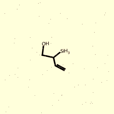 C=CC([SiH3])CO